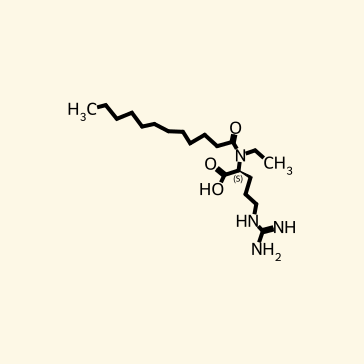 CCCCCCCCCCCC(=O)N(CC)[C@@H](CCCNC(=N)N)C(=O)O